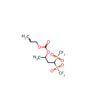 C=CCOC(=O)OC(C)CC(S(=O)(=O)C(F)(F)F)S(=O)(=O)C(F)(F)F